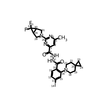 Cc1cc(C(=O)NNC(=O)c2ccc(I)cc2N2CCC3(CC2)CC3)nc(N2CC3C(C2)C3(F)F)n1